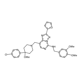 COc1ccc(CNc2ncc(CN3CCC(OC)(c4ccc(Cl)cc4)CC3)c3nc(-c4ccco4)nn23)cc1OC